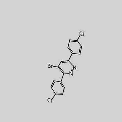 Clc1ccc(-c2cc(Br)c(-c3ccc(Cl)cc3)nn2)cc1